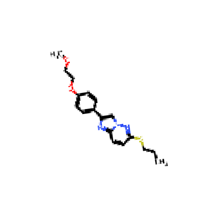 CCCSc1ccc2nc(-c3ccc(OCCOC)cc3)cn2n1